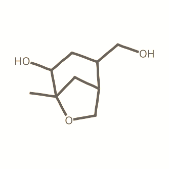 CC12CC(CO1)C(CO)CC2O